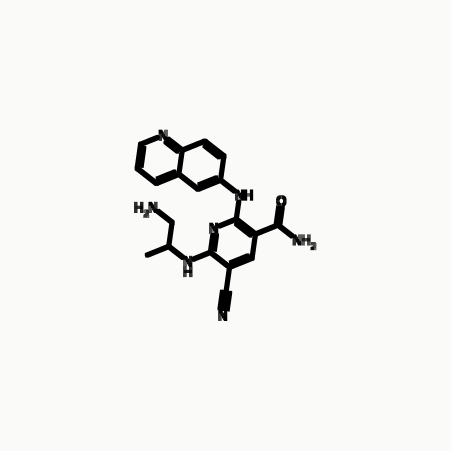 CC(CN)Nc1nc(Nc2ccc3ncccc3c2)c(C(N)=O)cc1C#N